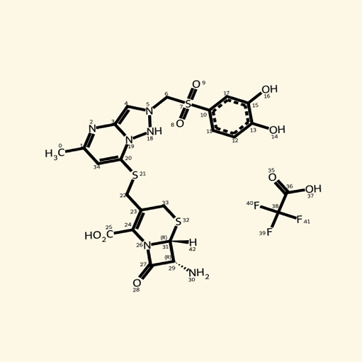 CC1=NC2=CN(CS(=O)(=O)c3ccc(O)c(O)c3)NN2C(SCC2=C(C(=O)O)N3C(=O)[C@@H](N)[C@H]3SC2)=C1.O=C(O)C(F)(F)F